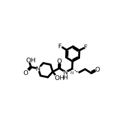 O=CCC[C@H](NC(=O)C1(O)CCN(C(=O)O)CC1)c1cc(F)cc(F)c1